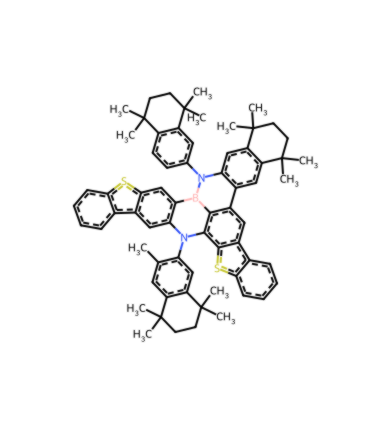 Cc1cc2c(cc1N1c3cc4c(cc3B3c5c(cc6c(sc7ccccc76)c51)-c1cc5c(cc1N3c1ccc3c(c1)C(C)(C)CCC3(C)C)C(C)(C)CCC5(C)C)sc1ccccc14)C(C)(C)CCC2(C)C